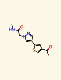 CNC(=O)Cn1cc(-c2cc(C(C)=O)cs2)cn1